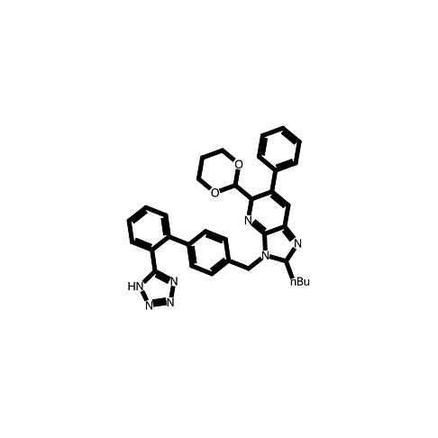 CCCCC1N=C2C=C(c3ccccc3)C(C3OCCCO3)N=C2N1Cc1ccc(-c2ccccc2-c2nnn[nH]2)cc1